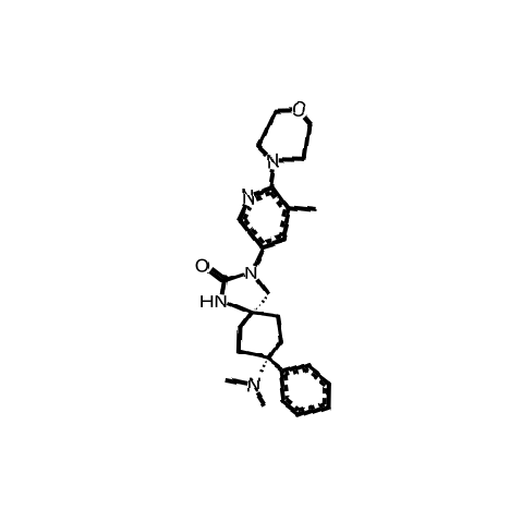 Cc1cc(N2C[C@]3(CC[C@@](c4ccccc4)(N(C)C)CC3)NC2=O)cnc1N1CCOCC1